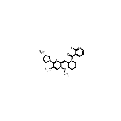 C=NN1C=C(C)C(N2CC[C@H](N)C2)=N/C1=C/C1CCCCN1C(=O)c1cccnc1F